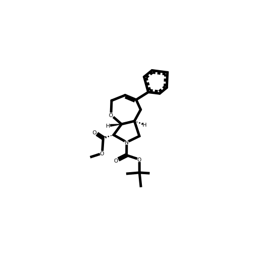 COC(=O)[C@@H]1[C@@H]2OCC=C(c3ccccc3)C[C@H]2CN1C(=O)OC(C)(C)C